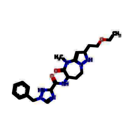 CCOCCC1C=C2N(CCC(NC(=O)C3N=CN(Cc4ccccc4)N3)C(=O)N2C)N1